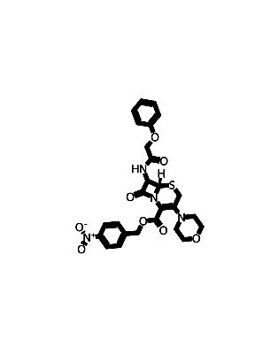 O=C(COc1ccccc1)NC1C(=O)N2C(C(=O)OCc3ccc([N+](=O)[O-])cc3)=C(N3CCOCC3)CS[C@@H]12